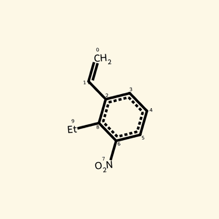 C=[C]c1cccc([N+](=O)[O-])c1CC